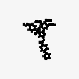 COc1cc(-c2cc(CNc3ccc(-n4ccnc4)cc3)cn2S(=O)(=O)c2ccc(C)cc2)cc(OC)c1OC